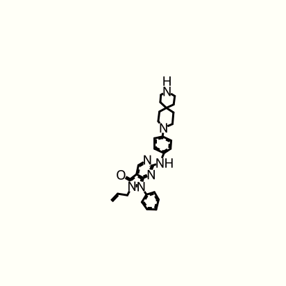 C=CCn1c(=O)c2cnc(Nc3ccc(N4CCC5(CCNCC5)CC4)cc3)nc2n1-c1ccccc1